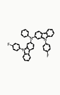 Fc1ccc(-n2c3ccccc3c3ccc(N(c4ccccc4)c4ccc5c6ccccc6n(-c6ccc(F)cc6)c5c4)cc32)cc1